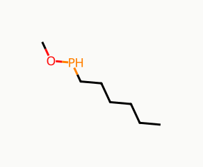 CCCCCCPOC